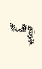 CN1CC2(CN(CCOc3ccn4c(-c5cc(NCc6ccc(-c7cnn(C)c7)cc6)ncn5)cnc4c3)C2)OC1=O